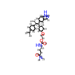 CC/C(=C(/c1ccc(OCCOC(=O)NC/C=C/C(=O)N(C)C)cc1)c1ccc2[nH]ncc2c1)c1ccc(C(C)C)cc1